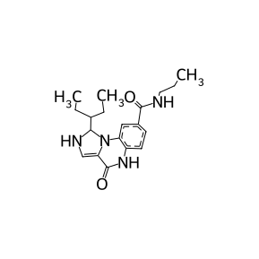 CCCNC(=O)c1ccc2c(c1)N1C(=CNC1C(CC)CC)C(=O)N2